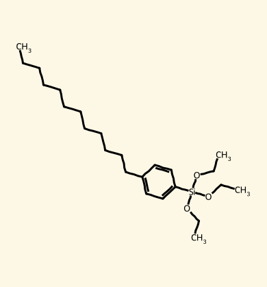 CCCCCCCCCCCCc1ccc([Si](OCC)(OCC)OCC)cc1